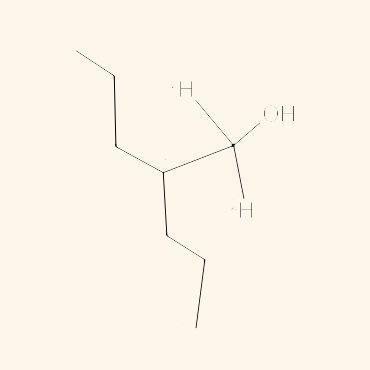 [2H]C([2H])(O)C(CCC)CCC